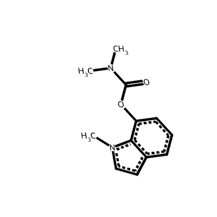 CN(C)C(=O)Oc1cccc2ccn(C)c12